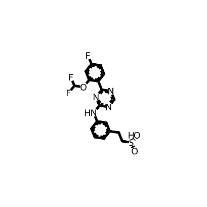 O=[SH](=O)CCc1cccc(Nc2ncnc(-c3ccc(F)cc3OC(F)F)n2)c1